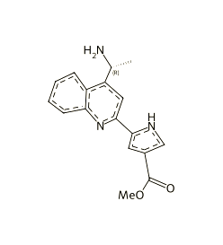 COC(=O)c1c[nH]c(-c2cc([C@@H](C)N)c3ccccc3n2)c1